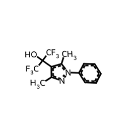 Cc1nn(-c2ccccc2)c(C)c1C(O)(C(F)(F)F)C(F)(F)F